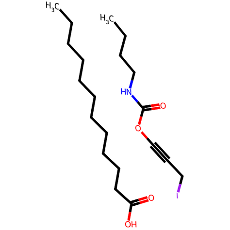 CCCCCCCCCCCC(=O)O.CCCCNC(=O)OC#CCI